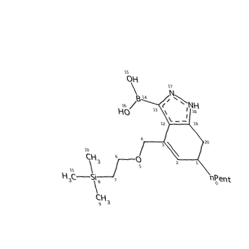 CCCCCC1C=C(COCC[Si](C)(C)C)c2c(B(O)O)n[nH]c2C1